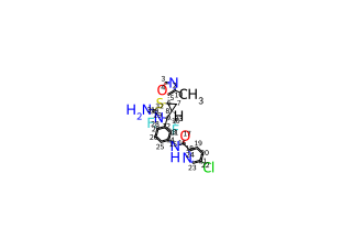 Cc1ncoc1[C@]12C[C@H]1[C@@](CF)(c1cc(NC(=O)c3ccc(Cl)cn3)ccc1F)N=C(N)S2